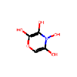 OC1=COC(O)=C(O)N1O